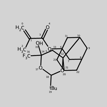 C=C(C)C(=O)OC12CC3CC(C1)C1(CC(O)(C(F)(F)F)OC(C(C)(C)C)O1)C(C3)C2